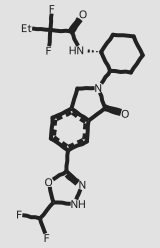 CCC(F)(F)C(=O)N[C@@H]1CCCCC1N1Cc2ccc(C3=NNC(C(F)F)O3)cc2C1=O